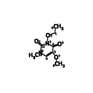 CCOn1c(=O)c(OC)cn(C)c1=O